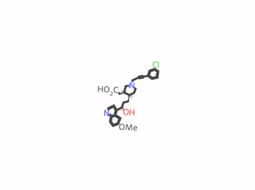 COc1ccc2nccc([C@@H](O)CC[C@@H]3CCN(CC#Cc4cccc(Cl)c4)C[C@@H]3CC(=O)O)c2c1